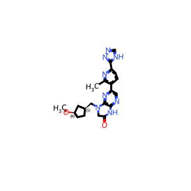 CO[C@@H]1CC[C@H](CN2CC(=O)Nc3ncc(-c4ccc(-c5nnc[nH]5)nc4C)nc32)C1